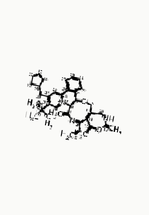 C=C/C1=N/C(=C)C2C(CCC3=C1C(=C)OC(=C)NC3)c1ccccc1-c1cc(CC3CCCC3)c([Si](C)(C)C)c[n+]12